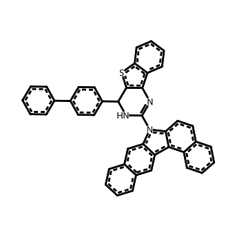 c1ccc(-c2ccc(C3NC(n4c5cc6ccccc6cc5c5c6ccccc6ccc54)=Nc4c3sc3ccccc43)cc2)cc1